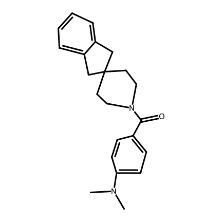 CN(C)c1ccc(C(=O)N2CCC3(CC2)Cc2ccccc2C3)cc1